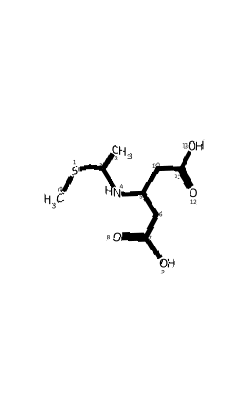 CSC(C)NC(CC(=O)O)CC(=O)O